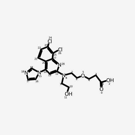 O=C(O)CCOCCN(CCO)c1cc(-n2ccnc2)c2ccc(Cl)c(Cl)c2n1